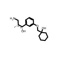 C[C@H](CN)[C@@H](O)c1cccc(OCC2(O)CCCCC2)c1